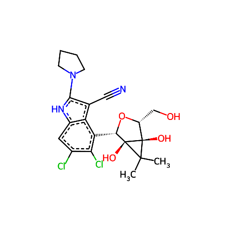 CC1(C)[C@]2(O)[C@H](c3c(Cl)c(Cl)cc4[nH]c(N5CCCC5)c(C#N)c34)O[C@H](CO)[C@]12O